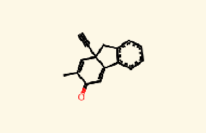 C#CC12C=C(C)C(=O)C=C1c1ccccc1C2